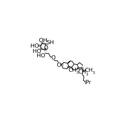 CC(C)CCC[C@@H](C)[C@H]1CCC2C3CC=C4C[C@@H](OCCOCCC(O)[C@H]5O[C@@H](S)[C@@H](O)[C@@H](O)[C@@H]5O)CC[C@]4(C)C3CC[C@@]21C